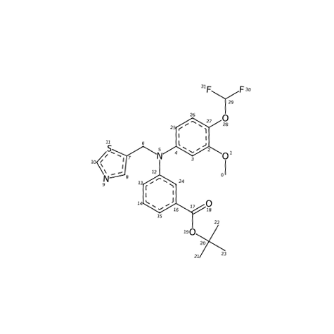 COc1cc(N(Cc2cncs2)c2cccc(C(=O)OC(C)(C)C)c2)ccc1OC(F)F